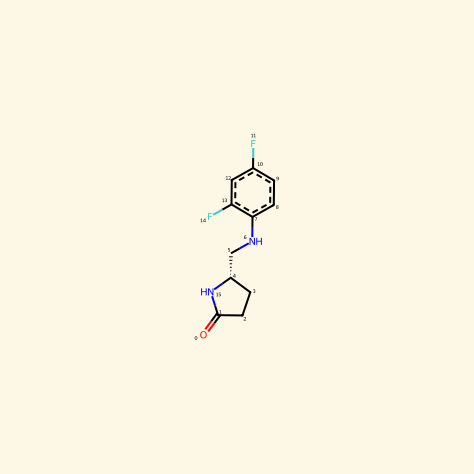 O=C1CC[C@@H](CNc2ccc(F)cc2F)N1